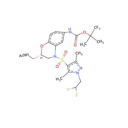 CC(=O)NC[C@H]1CN(S(=O)(=O)c2c(C)nn(CC(F)F)c2C)c2cc(NC(=O)OC(C)(C)C(F)(F)F)ccc2O1